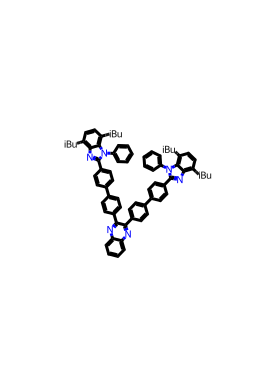 CCC(C)c1ccc(C(C)CC)c2c1nc(-c1ccc(-c3ccc(-c4nc5ccccc5nc4-c4ccc(-c5ccc(-c6nc7c(C(C)CC)ccc(C(C)CC)c7n6-c6ccccc6)cc5)cc4)cc3)cc1)n2-c1ccccc1